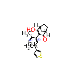 C=C(/C=C(C1=C(O)[C@H]2CC[C@H](C2)C1=O)\C(C)=C/C)c1ccsc1